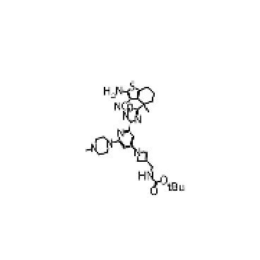 CN1CCN(c2cc(N3CC(CNC(=O)OC(C)(C)C)C3)cc(-c3noc(C4(C)CCCc5sc(N)c(C#N)c54)n3)n2)CC1